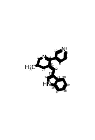 CC1CN=C(c2cccnc2)C(=Cc2c[nH]c3ccccc23)C1